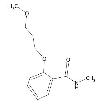 CNC(=O)c1ccccc1OCCCOC